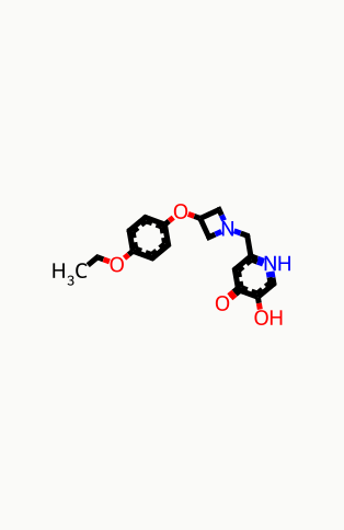 CCOc1ccc(OC2CN(Cc3cc(=O)c(O)c[nH]3)C2)cc1